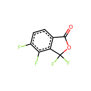 O=C1OC(F)(F)c2c1ccc(F)c2F